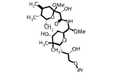 C=C1C[C@](OC)([C@H](O)C(=O)N[C@@H](OC)[C@@H]2C[C@@H](O)C(C)(C)[C@@H](C[C@H](O)COC(C)C)O2)O[C@H](C)[C@@H]1C